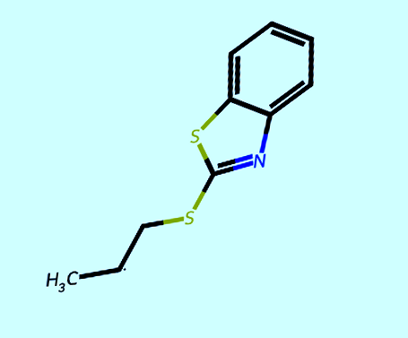 C[CH]CSc1nc2ccccc2s1